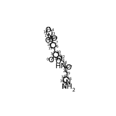 COc1cc(-c2ccc(S(=O)(=O)N3CCOCC3)cc2)cc2cc(CNC(=O)/C=C/c3ccc(N)nc3)oc12